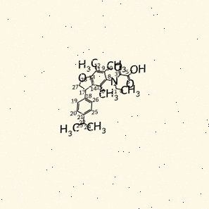 CCN(C(=O)C(=O)O)c1c(C)c(C)c2c(c1C)C(c1ccc(C(C)C)cc1)CO2